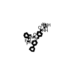 O=C(Nc1nn[nH]n1)c1ccc(CN(C(=O)NCc2ccccc2OC(F)(F)F)c2ccc(C3=CCCCC3)cc2)cc1